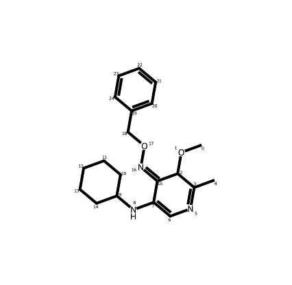 COC1C(C)=NC=C(NC2CCCCC2)C1=NOCc1ccccc1